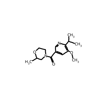 COc1cc(C(=O)N2CCOC(C)C2)cnc1C(C)C